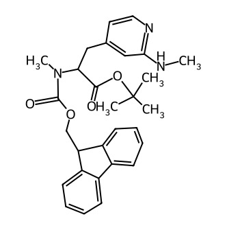 CNc1cc(CC(C(=O)OC(C)(C)C)N(C)C(=O)OCC2c3ccccc3-c3ccccc32)ccn1